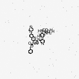 C[C@H]1CN(c2ccncc2NC(=O)c2nc3cc(N4CCN(C)CC4)ccc3cc2NC(=O)OCc2ccccc2)C[C@@H](NC(=O)O)[C@H]1NC(=O)O